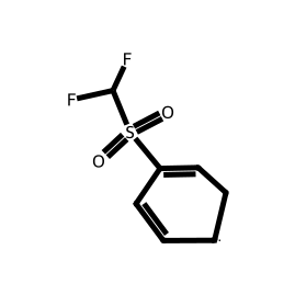 O=S(=O)(C1=CC[CH]C=C1)C(F)F